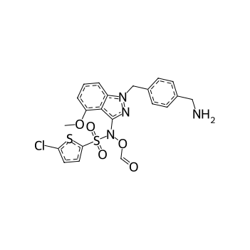 COc1cccc2c1c(N(OC=O)S(=O)(=O)c1ccc(Cl)s1)nn2Cc1ccc(CN)cc1